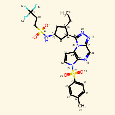 CC[C@@H]1C[C@H](NS(=O)(=O)CCC(F)(F)F)C[C@@H]1c1nnc2cnc3c(ccn3S(=O)(=O)c3ccc(C)cc3)n12